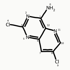 Nc1nc(Cl)nc2cc(Cl)cnc12